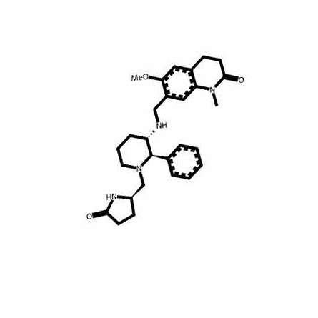 COc1cc2c(cc1CN[C@H]1CCCN(C[C@H]3CCC(=O)N3)[C@@H]1c1ccccc1)N(C)C(=O)CC2